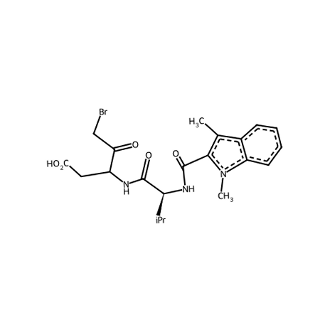 Cc1c(C(=O)N[C@H](C(=O)NC(CC(=O)O)C(=O)CBr)C(C)C)n(C)c2ccccc12